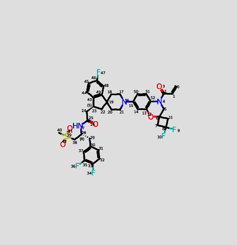 C=CC(=O)N1CC2(CC(F)(F)C2)Oc2cc(N3CCC4(CC3)C[C@@H](CC(=O)N[C@H](Cc3ccc(F)c(F)c3)CS(C)(=O)=O)c3ccc(F)cc34)ccc21